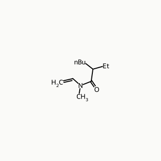 C=CN(C)C(=O)C(CC)CCCC